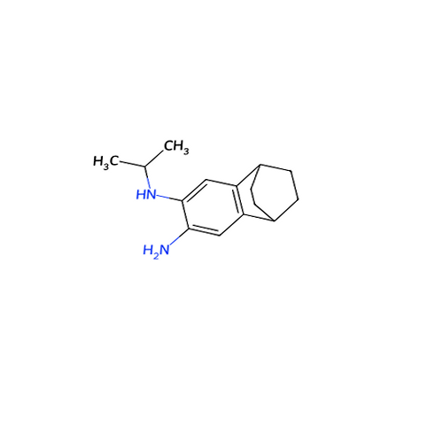 CC(C)Nc1cc2c(cc1N)C1CCC2CC1